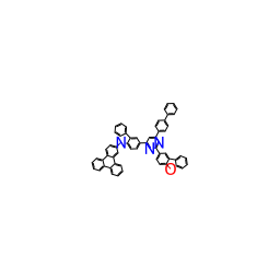 c1ccc(-c2ccc(-c3cc(-c4ccc5c(c4)c4ccccc4n5-c4ccc5c6ccccc6c6ccccc6c5c4)nc(-c4ccc5oc6ccccc6c5c4)n3)cc2)cc1